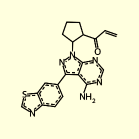 C=CC(=O)C1CCCC1n1nc(-c2ccc3ncsc3c2)c2c(N)ncnc21